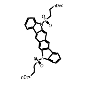 CCCCCCCCCCCCS(=O)(=O)n1c2ccccc2c2cc3cc4c(cc3cc21)c1ccccc1n4S(=O)(=O)CCCCCCCCCCCC